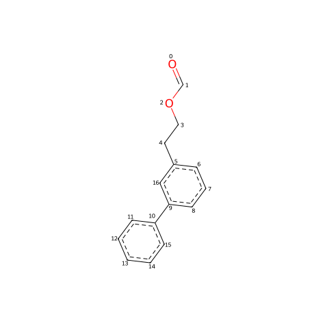 O=COCCc1cccc(-c2ccccc2)c1